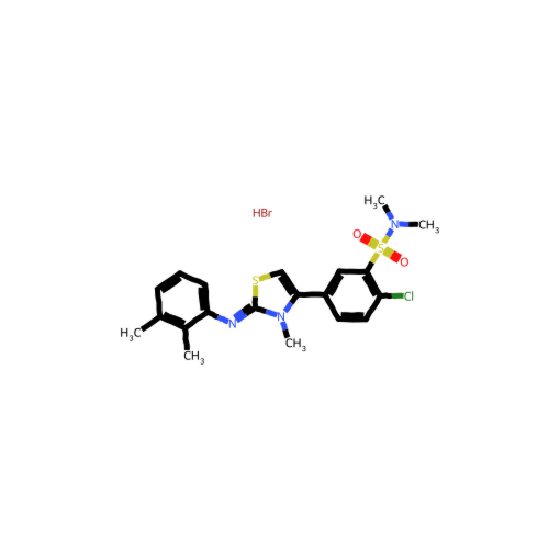 Br.Cc1cccc(N=c2scc(-c3ccc(Cl)c(S(=O)(=O)N(C)C)c3)n2C)c1C